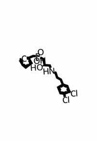 O=P(O)(Cc1ccccc1)C[C@H](O)CNCCCc1ccc(Cl)c(Cl)c1